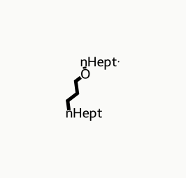 CCCCCC[CH]OCCCCCCCCCC